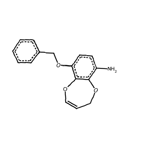 Nc1ccc(OCc2ccccc2)c2c1OCC=CO2